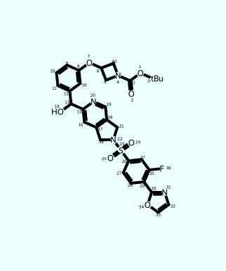 CC(C)(C)OC(=O)N1CC(Oc2cccc(C(O)c3cc4c(cn3)CN(S(=O)(=O)c3ccc(-c5ncco5)c(F)c3)C4)c2)C1